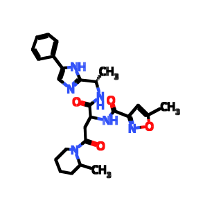 Cc1cc(C(=O)NC(CC(=O)N2CCCCC2C)C(=O)N[C@@H](C)c2ncc(-c3ccccc3)[nH]2)no1